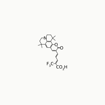 CC1(C)CCN2CCC(C)(C)c3c2c1cc1cc(C=CC=C(C(=O)O)C(F)(F)F)c(=O)oc31